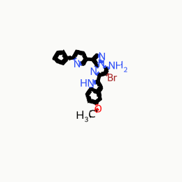 COc1ccc2[nH]c(-c3nc4c(-c5ccc(-c6ccccc6)nc5)cnn4c(N)c3Br)cc2c1